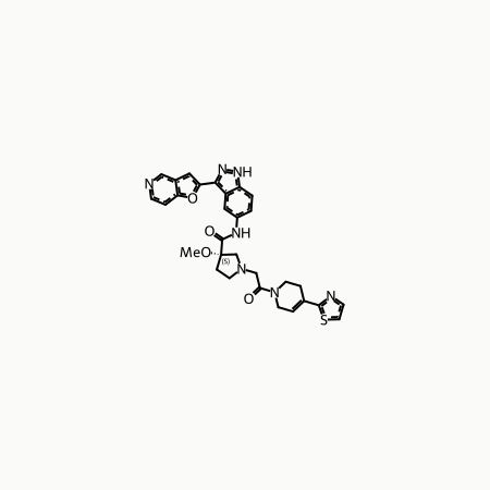 CO[C@@]1(C(=O)Nc2ccc3[nH]nc(-c4cc5cnccc5o4)c3c2)CCN(CC(=O)N2CC=C(c3nccs3)CC2)C1